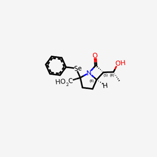 C[C@@H](O)[C@H]1C(=O)N2[C@@H]1CCC2([Se]c1ccccc1)C(=O)O